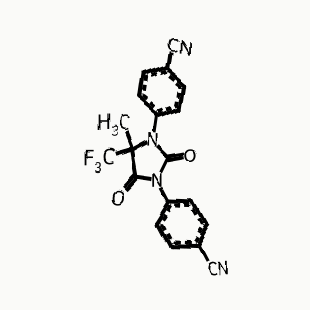 CC1(C(F)(F)F)C(=O)N(c2ccc(C#N)cc2)C(=O)N1c1ccc(C#N)cc1